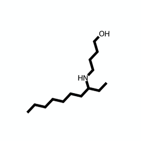 CCCCCCCC(CC)NCCCCO